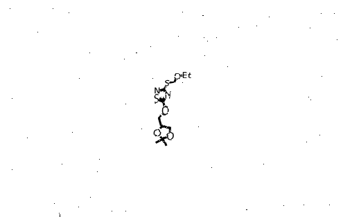 CCOCSc1nsc(OCC2COC(C)(C)O2)n1